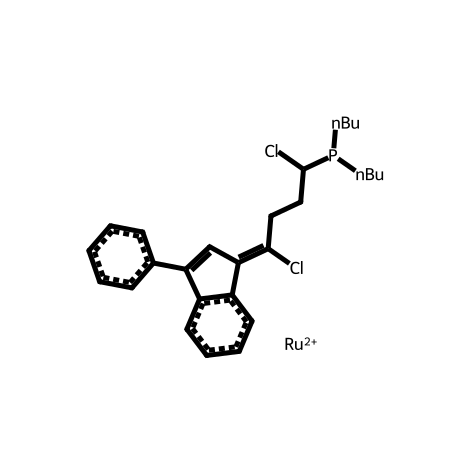 CCCCP(CCCC)C(Cl)CCC(Cl)=C1C=C(c2ccccc2)c2ccccc21.[Ru+2]